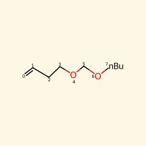 C=CCCOCOCCCC